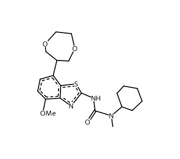 COc1ccc(C2COCCOC2)c2sc(NC(=O)N(C)C3CCCCC3)nc12